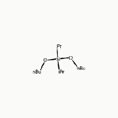 CCCCO[Si](OCCCC)(C(C)C)C(C)C